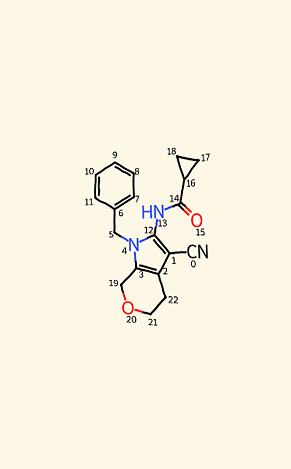 N#Cc1c2c(n(Cc3ccccc3)c1NC(=O)C1CC1)COCC2